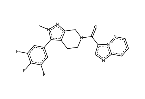 Cn1nc2c(c1-c1cc(F)c(F)c(F)c1)CCN(C(=O)c1cnc3cccnn13)C2